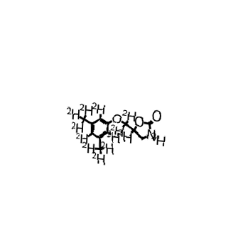 [2H]c1c(OC([2H])([2H])C2([2H])CN([2H])C(=O)O2)c([2H])c(C([2H])([2H])[2H])c([2H])c1C([2H])([2H])[2H]